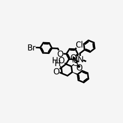 CN(Cc1ccccc1)S(=O)(=O)[C@H]1[C@@H](c2ccccc2)CC2O[C@@H]2[C@]1(O)c1ncc(Cl)cc1OCc1ccc(Br)cc1